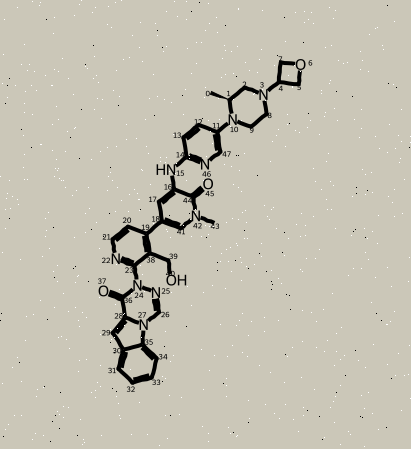 C[C@H]1CN(C2COC2)CCN1c1ccc(Nc2cc(-c3ccnc(-n4ncn5c(cc6ccccc65)c4=O)c3CO)cn(C)c2=O)nc1